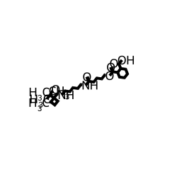 CC1CCC1(C(=O)NCCCCCNC(=O)CCCCOC(=O)C1CCCCC1C(=O)O)C(C)(C)C